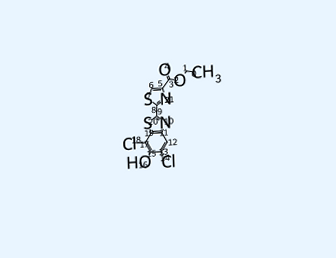 CCOC(=O)c1csc(-c2nc3cc(Cl)c(O)c(Cl)c3s2)n1